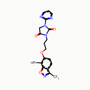 CCCc1c(OCCCN2C(=O)CN(c3ncccn3)C2=O)ccc2c(C(F)(F)F)noc12